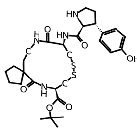 CC(C)(C)OC(=O)[C@@H]1CSSC[C@H](NC(=O)[C@H]2NCC[C@@H]2c2ccc(O)cc2)C(=O)NCCC2(CCCC2)C(=O)N1